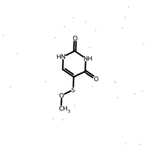 COSc1c[nH]c(=O)[nH]c1=O